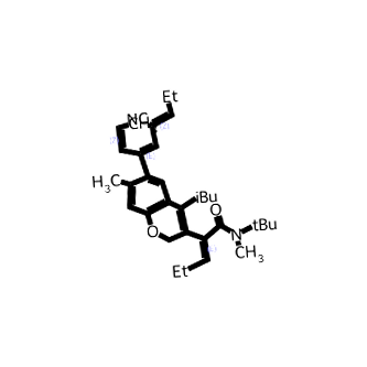 C\C=C/C(=C\C(C#N)=C\CC)c1cc2c(cc1C)OCC(/C(=C\CC)C(=O)N(C)C(C)(C)C)=C2C(C)CC